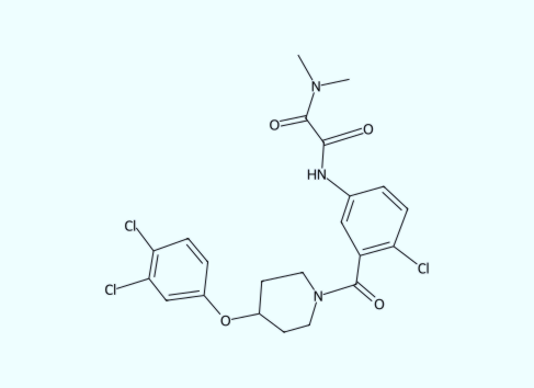 CN(C)C(=O)C(=O)Nc1ccc(Cl)c(C(=O)N2CCC(Oc3ccc(Cl)c(Cl)c3)CC2)c1